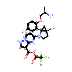 C[C@@H](N)COc1ccc(F)cc1[C@@]12C[C@@H]1CCN2c1ccn2ncc(C(=O)OC(=O)C(F)(F)F)c2n1